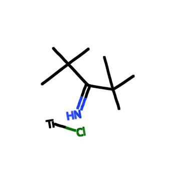 CC(C)(C)C(=N)C(C)(C)C.[Cl][Ti]